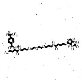 CC(=O)CCC(NC(=O)c1ccc(C2(C(F)(F)F)N=N2)cc1)C(=O)NCCCOCCOCCOCCCNC(=O)CCCC[C@@H]1SC[C@@H]2NC(=O)N[C@@H]21